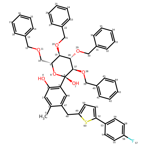 Cc1cc(O)c([C@]2(O)O[C@H](COCc3ccccc3)[C@@H](OCc3ccccc3)[C@H](OCc3ccccc3)[C@H]2OCc2ccccc2)cc1Cc1ccc(-c2ccc(F)cc2)s1